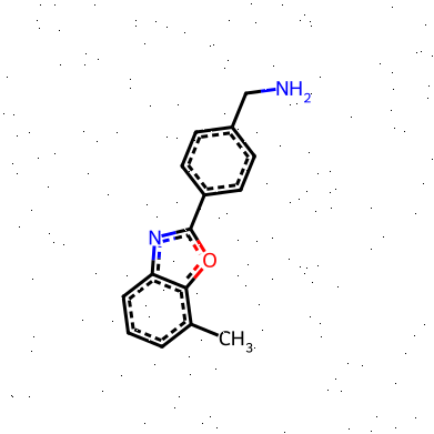 Cc1cccc2nc(-c3ccc(CN)cc3)oc12